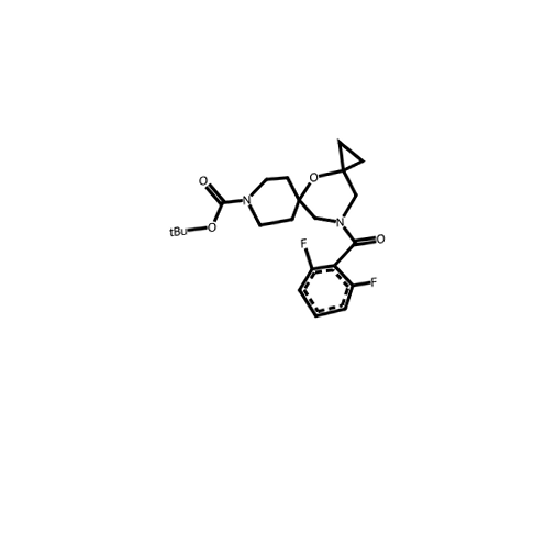 CC(C)(C)OC(=O)N1CCC2(CC1)CN(C(=O)c1c(F)cccc1F)CC1(CC1)O2